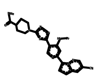 CNC(=O)C1CCN(c2nnc(-c3cnc(-c4ccc5cc(C#N)cnn45)cc3NC(C)C)s2)CC1